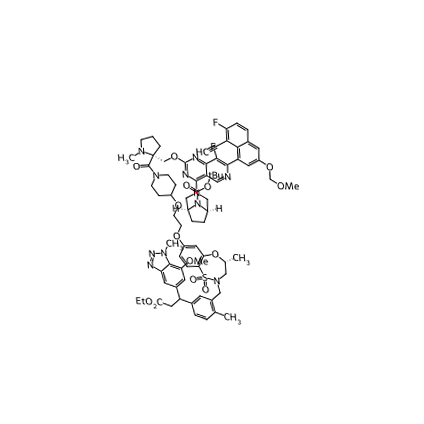 C#Cc1c(F)ccc2cc(OCOC)cc(-c3ncc4c(N5C[C@H]6CC[C@@H](C5)N6C(=O)OC(C)(C)C)nc(OC[C@@]5(C(=O)N6CCC(OCCOc7ccc8c(c7)O[C@H](C)CN(Cc7cc(C(CC(=O)OCC)c9cc(OC)c%10c(c9)nnn%10C)ccc7C)S8(=O)=O)CC6)CCCN5C)nc4c3F)c12